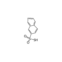 O=S(=O)(S)c1ccc2ccccc2c1